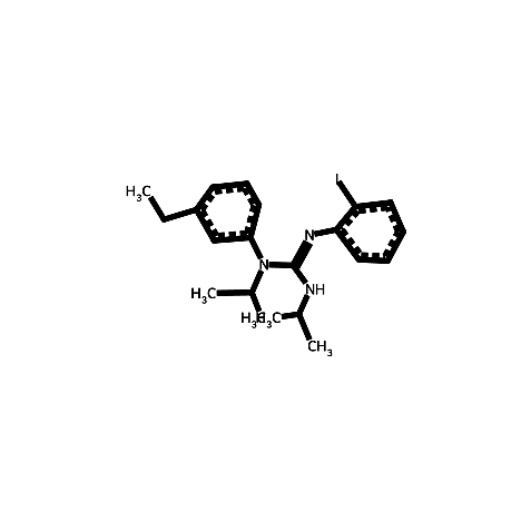 CCc1cccc(N(C(=Nc2ccccc2I)NC(C)C)C(C)C)c1